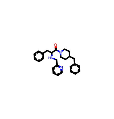 O=C(C(Cc1ccccc1)NCc1ccccn1)N1CCC(Cc2ccccc2)CC1